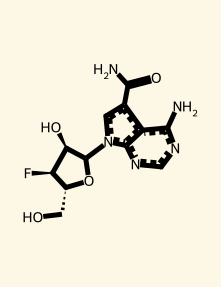 NC(=O)c1cn(C2O[C@H](CO)[C@@H](F)[C@H]2O)c2ncnc(N)c12